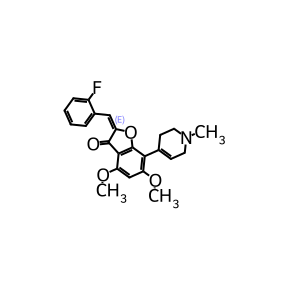 COc1cc(OC)c(C2=CCN(C)CC2)c2c1C(=O)/C(=C\c1ccccc1F)O2